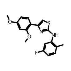 COc1ccc(-c2csc(Nc3cc(F)ccc3C)n2)c(OC)c1